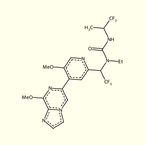 CCN(C(=O)NC(C)C(F)(F)F)C(c1cc(-c2cn3ccnc3c(OC)n2)c(OC)cn1)C(F)(F)F